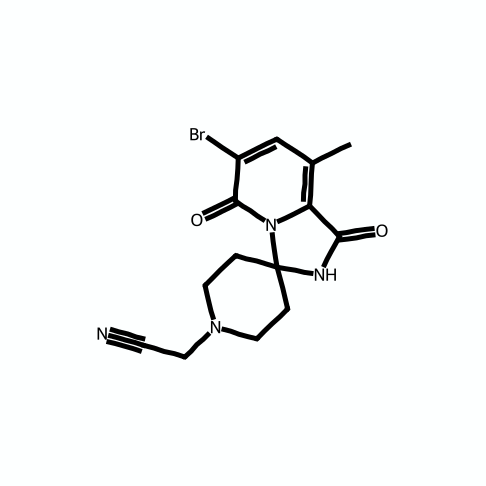 Cc1cc(Br)c(=O)n2c1C(=O)NC21CCN(CC#N)CC1